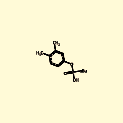 CCCCP(=O)(O)Oc1ccc(C)c(C)c1